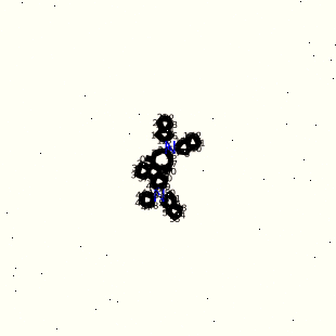 C=C1/C=C\C(N(c2ccc3ccccc3c2)c2ccc3ccccc3c2)=C/CC(C)(C)c2c1c1ccccc1c1cc(N(c3ccccc3)c3ccc4ccccc4c3)ccc21